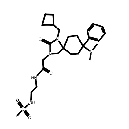 CN(C)C1(c2ccccc2)CCC2(CC1)CN(CC(=O)NCCNS(C)(=O)=O)C(=O)N2CC1CCC1